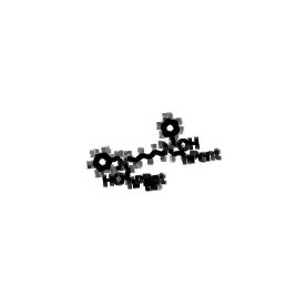 CCCCCC(O)C[N+](C)(CCCCCC[N+](C)(Cc1ccccc1)CC(O)CCCCC)Cc1ccccc1.[Br-].[Br-]